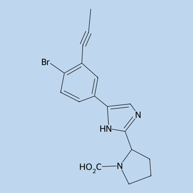 CC#Cc1cc(-c2cnc(C3CCCN3C(=O)O)[nH]2)ccc1Br